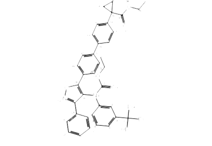 CCOC(=O)N(c1cccc(C(F)(F)F)c1)c1c(-c2ccccc2)noc1-c1ccc(-c2ccc(C3(C(=O)OCC)CC3)cc2)cc1